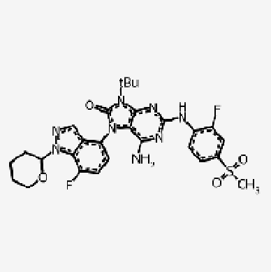 CC(C)(C)n1c(=O)n(-c2ccc(F)c3c2cnn3C2CCCCO2)c2c(N)nc(Nc3ccc(S(C)(=O)=O)cc3F)nc21